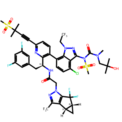 CN(CC(C)(C)O)C(=O)N(c1nn(CC(F)(F)F)c2c(-c3ccc(C#CC(C)(C)S(C)(=O)=O)nc3[C@H](Cc3cc(F)cc(F)c3)NC(=O)Cn3nc(C(F)(F)F)c4c3C(F)(F)[C@@H]3C[C@H]43)ccc(Cl)c12)S(C)(=O)=O